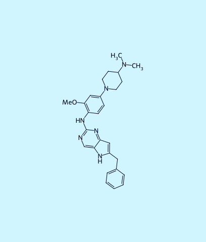 COc1cc(N2CCC(N(C)C)CC2)ccc1Nc1ncc2[nH]c(Cc3ccccc3)cc2n1